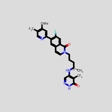 COc1cc(-c2cc3ccn(CCC[C@H](C)Nc4cn[nH]c(=O)c4C(F)(F)F)c(=O)c3cc2F)ncc1C(F)(F)F